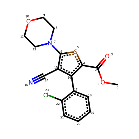 COC(=O)c1sc(N2CCOCC2)c(C#N)c1-c1ccccc1Cl